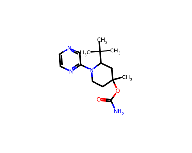 CC1(OC(N)=O)CCN(c2cnccn2)C(C(C)(C)C)C1